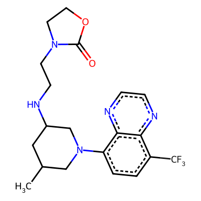 CC1CC(NCCN2CCOC2=O)CN(c2ccc(C(F)(F)F)c3nccnc23)C1